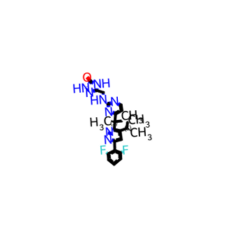 CC[C@H](C)c1cc(-c2c(F)cccc2F)nnc1[C@@](C)(CC)c1ccnc(NCc2n[nH]c(=O)[nH]2)n1